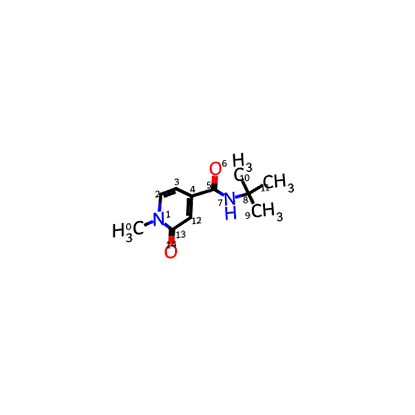 Cn1ccc(C(=O)NC(C)(C)C)cc1=O